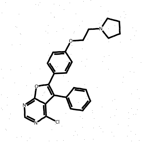 Clc1ncnc2oc(-c3ccc(OCCN4CCCC4)cc3)c(-c3ccccc3)c12